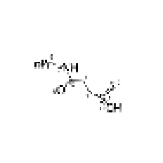 C#S(=S)CCC(=O)NCCC